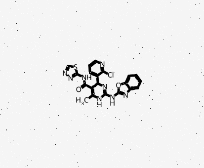 CC1=C(C(=O)Nc2nncs2)C(c2cccnc2Cl)N=C(Nc2nc3ccccc3o2)N1